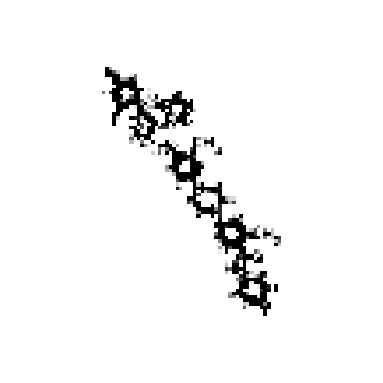 Cc1cc(N2CCN(c3ccc(C(=O)Nc4ccc(F)cc4)c(C)c3)CC2)ccc1OC[C@@H]1CO[C@@](Cn2cncn2)(c2ccc(F)cc2F)C1